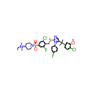 CC[N+](C)(C)C1CCN(S(=O)(=O)c2cc(F)c(CSc3ncc(C(C)(C)c4ccc(Cl)c(OC)c4)n3-c3ccc(F)cc3)c(Cl)c2)CC1